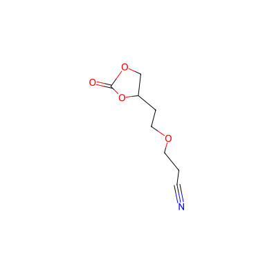 N#CCCOCCC1COC(=O)O1